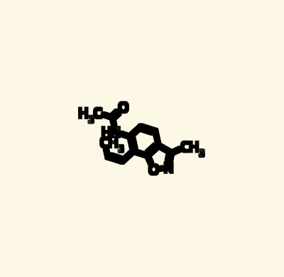 C/C=C\c1c(NC(C)=O)ccc2c(C)noc12